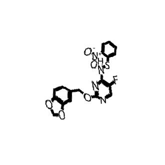 O=[N+]([O-])c1ccccc1SNc1nc(OCc2ccc3c(c2)OCO3)ncc1F